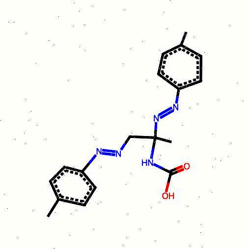 Cc1ccc(N=NCC(C)(N=Nc2ccc(C)cc2)NC(=O)O)cc1